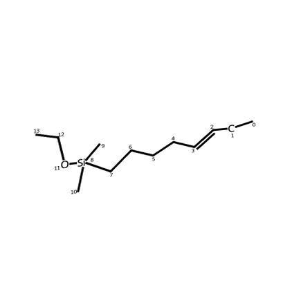 CCC=CCCCC[Si](C)(C)OCC